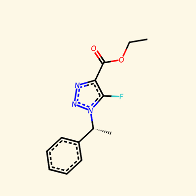 CCOC(=O)c1nnn([C@H](C)c2ccccc2)c1F